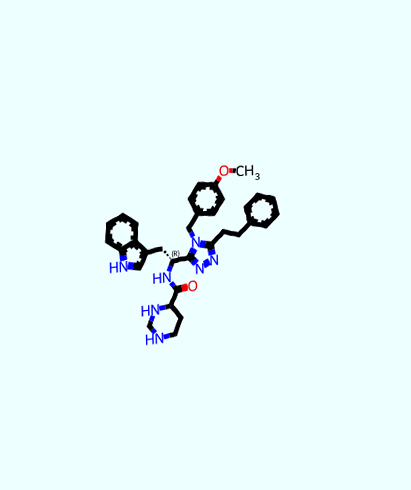 COc1ccc(Cn2c(CCc3ccccc3)nnc2[C@@H](Cc2c[nH]c3ccccc23)NC(=O)C2CCNCN2)cc1